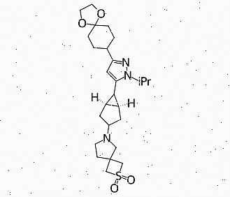 CC(C)n1nc(C2CCC3(CC2)OCCO3)cc1C1[C@H]2CC(N3CCC4(C3)CS(=O)(=O)C4)C[C@@H]12